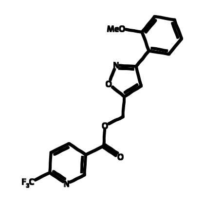 COc1ccccc1-c1cc(COC(=O)c2ccc(C(F)(F)F)nc2)on1